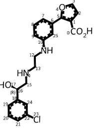 O=C(O)c1ccoc1-c1cccc(NCCNC[C@H](O)c2cccc(Cl)c2)c1